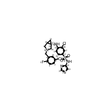 Cc1ccc(F)c(CN2CC3C[C@@]3(Nc3ccc(S(=O)(=O)Nc4cscn4)cc3Cl)C2)c1